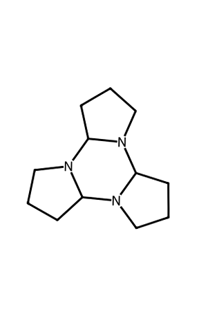 C1CC2N(C1)C1CCCN1C1CCCN21